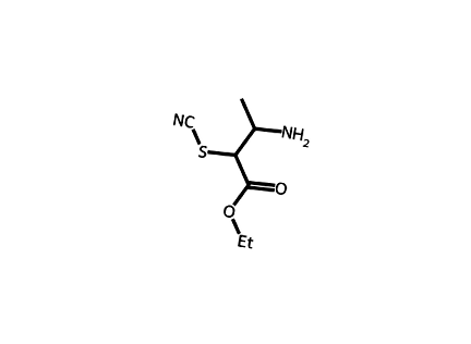 CCOC(=O)C(SC#N)C(C)N